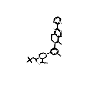 CC1c2cnc(-c3ncccn3)nc2CCN1c1cc(N2CCN(C(=O)OC(C)(C)C)C(C(=O)O)C2)cc(F)n1